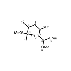 CCC(NC(CC)[Si](C)(C)OC)[SiH2]C(OC)OC